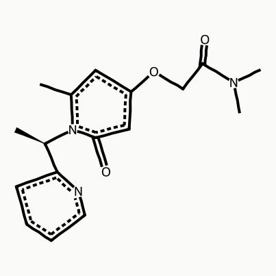 Cc1cc(OCC(=O)N(C)C)cc(=O)n1[C@H](C)c1ccccn1